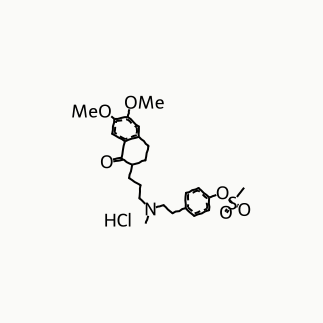 COc1cc2c(cc1OC)C(=O)C(CCCN(C)CCc1ccc(OS(C)(=O)=O)cc1)CC2.Cl